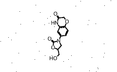 O=C1COc2ccc(N3CC(CO)OC3=O)cc2N1